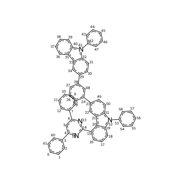 c1ccc(-c2cc(-c3ccccc3)nc(-c3cccc4c3c3cc(-c5cccc(-c6ccc7c(c6)c6ccccc6n7-c6ccccc6)c5)ccc3n4-c3ccccc3)n2)cc1